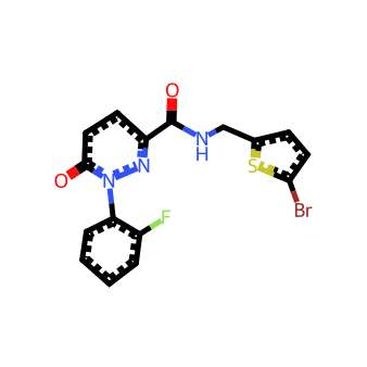 O=C(NCc1ccc(Br)s1)c1ccc(=O)n(-c2ccccc2F)n1